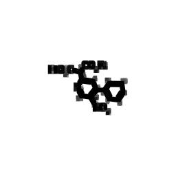 CCOC(=O)C(C(=O)OCC)c1cc(-c2ccccc2)c([N+](=O)[O-])cn1